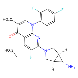 CS(=O)(=O)O.N[C@@H]1[C@H]2CN(c3nc4c(cc3F)c(=O)c(C(=O)O)cn4-c3ccc(F)cc3F)C[C@@H]12